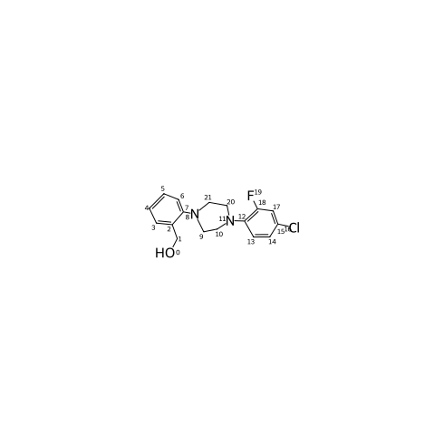 OCc1ccccc1N1CCN(c2ccc(Cl)cc2F)CC1